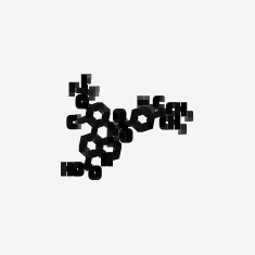 CC(C)(C)c1ccc(S(=O)(=O)Nc2ccc(OC(F)(F)F)c(Cl)c2-c2ccc(C(=O)O)c3ncccc23)cc1